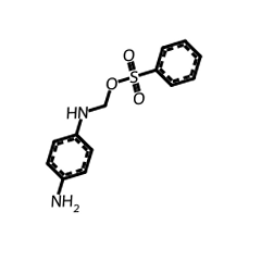 Nc1ccc(NCOS(=O)(=O)c2ccccc2)cc1